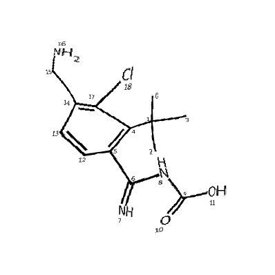 CC(C)(C)c1c(C(=N)NC(=O)O)ccc(CN)c1Cl